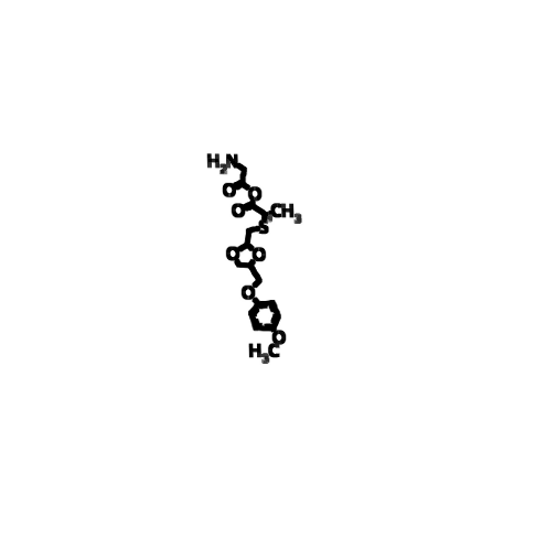 COc1ccc(OCC2COC(CS[C@@H](C)C(=O)OC(=O)CN)O2)cc1